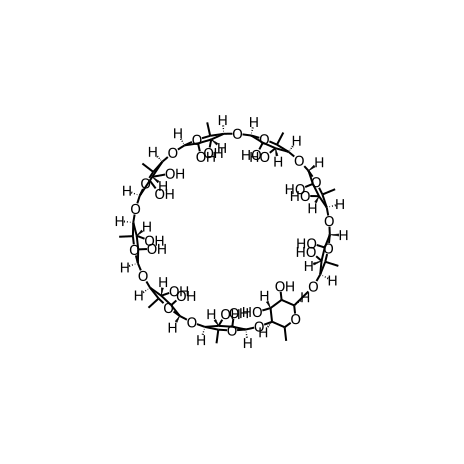 CC1O[C@@H]2O[C@@H]3C(C)O[C@H](O[C@@H]4C(C)O[C@@H](O[C@@H]5C(C)O[C@H](O[C@@H]6C(C)O[C@H](O[C@@H]7C(C)O[C@@H](O[C@@H]8C(C)O[C@@H](O[C@@H]9C(C)O[C@H](O[C@@H]%10C(C)O[C@H](O[C@H]1[C@H](O)C2O)C(O)[C@H]%10O)C(O)[C@H]9O)C(O)[C@H]8O)C(O)[C@H]7O)C(O)[C@H]6O)C(O)[C@H]5O)C(O)[C@H]4O)C(O)[C@H]3O